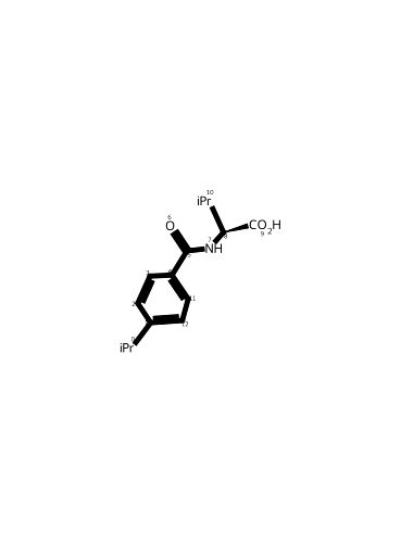 CC(C)c1ccc(C(=O)N[C@H](C(=O)O)C(C)C)cc1